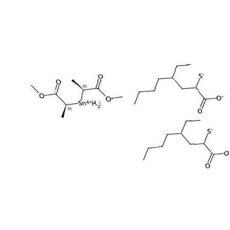 CCCCC(CC)CC([S-])C(=O)[O-].CCCCC(CC)CC([S-])C(=O)[O-].COC(=O)[C@H](C)[SnH2+4][C@@H](C)C(=O)OC